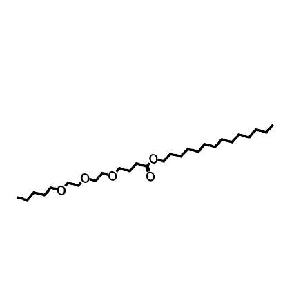 CCCCCCCCCCCCCCOC(=O)CCCOCCOCCOCCCCC